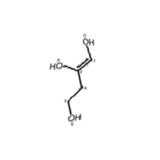 O/C=C(\O)CCO